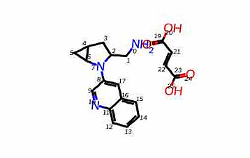 NCC1CC2CC2N1c1cnc2ccccc2c1.O=C(O)/C=C/C(=O)O